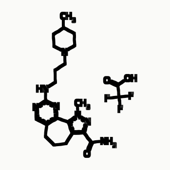 CC1CCN(CCCNc2ncc3c(n2)-c2c(c(C(N)=O)nn2C)CCC3)CC1.O=C(O)C(F)(F)F